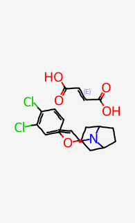 C=CCN1C2CCC1CC(Oc1ccc(Cl)c(Cl)c1)C2.O=C(O)/C=C/C(=O)O